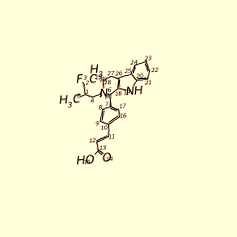 CC(CF)CN1[C@H](c2ccc(C=CC(=O)O)cc2)c2[nH]c3ccccc3c2C[C@H]1C